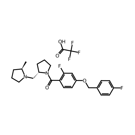 C[C@@H]1CCCN1C[C@@H]1CCCN1C(=O)c1ccc(OCc2ccc(F)cc2)cc1F.O=C(O)C(F)(F)F